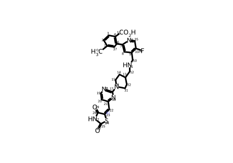 Cc1ccc(C(=O)O)c(-c2cc(CNCC3CCN(c4nccc(/C=C5/SC(=O)NC5=O)n4)CC3)c(F)cn2)c1